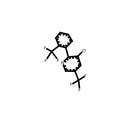 FC(F)(F)c1cnc(-c2ccc[c]c2C(F)(F)F)c(Cl)c1